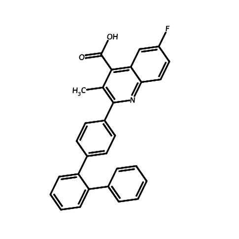 Cc1c(-c2ccc(-c3ccccc3-c3ccccc3)cc2)nc2ccc(F)cc2c1C(=O)O